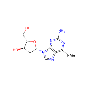 CNc1nc(N)nc2c1ncn2[C@@H]1C[C@@H](O)[C@H](CO)O1